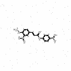 COc1ccc(C=CC(=O)Oc2ccc([N+](=O)[O-])cc2)cc1[N+](=O)[O-]